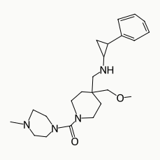 COCC1(CNC2CC2c2ccccc2)CCN(C(=O)N2CCN(C)CC2)CC1